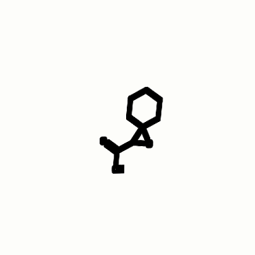 O=C(O)C1OC12CCCCC2